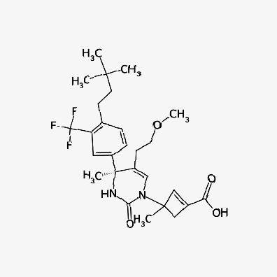 COCCC1=CN(C2(C)C=C(C(=O)O)C2)C(=O)N[C@@]1(C)c1ccc(CCC(C)(C)C)c(C(F)(F)F)c1